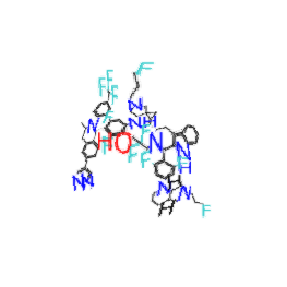 C[C@@H]1Cc2cc(-c3cnn(C)c3)ccc2[C@@H](c2c(F)cc(N[C@@H]3CN(CCCF)CC34CC4C[C@@H]3Cc4c([nH]c5ccccc45)[C@@H](c4c(F)cc(N5CCC[C@@H]6CN(CCCF)C[C@@H]65)cc4F)N3CC(F)(F)CO)cc2F)N1c1ccc(C(F)(F)F)cc1